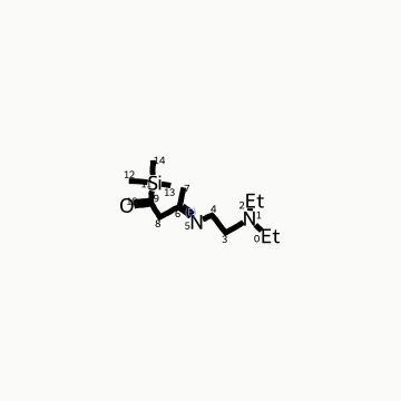 CCN(CC)CC/N=C(\C)CC(=O)[Si](C)(C)C